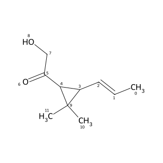 CC=CC1C(C(=O)CO)C1(C)C